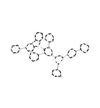 c1ccc(-c2ccc(-c3cc(-c4cc(-c5ccccc5)c(-n5c6ccccc6c6cc(-c7ccccc7)ccc65)c(-c5ccccc5)c4)nc(-c4ccccc4)n3)cc2)cc1